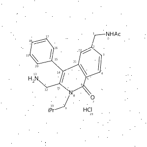 CC(=O)NCc1ccc2c(=O)n(CC(C)C)c(CN)c(-c3ccccc3)c2c1.Cl